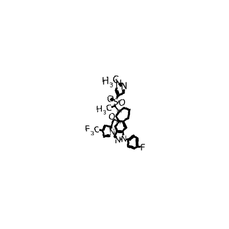 CC([C@H]1CCCC2=Cc3c(cnn3-c3ccc(F)cc3)C[C@]2(C(=O)c2cc(C(F)(F)F)ccn2)C1)S(=O)(=O)c1cnn(C)c1